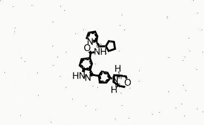 O=C(N[C@H](c1ccccn1)C1CCCC1)c1ccc2[nH]nc(-c3ccc(N4[C@@H]5CC[C@H]4COC5)cc3)c2c1